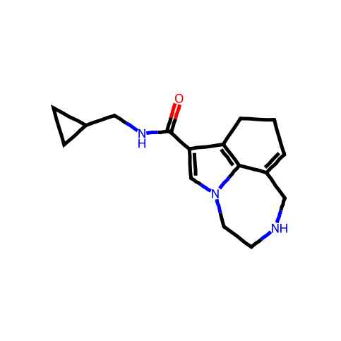 O=C(NCC1CC1)c1cn2c3c1CCC=C3CNCC2